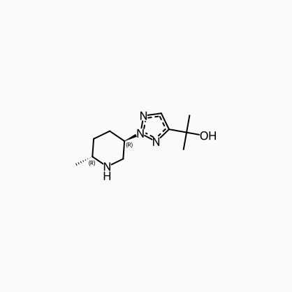 C[C@@H]1CC[C@@H](n2ncc(C(C)(C)O)n2)CN1